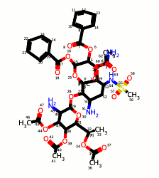 COC(CN)C(OC(=O)c1ccccc1)C(OC(=O)c1ccccc1)OC1C(OC2OC([C@@H](C)OC(C)=O)C(OC(C)=O)C(OC(C)=O)C2N)C(N)CC(NS(C)(=O)=O)C1OC(C)=O